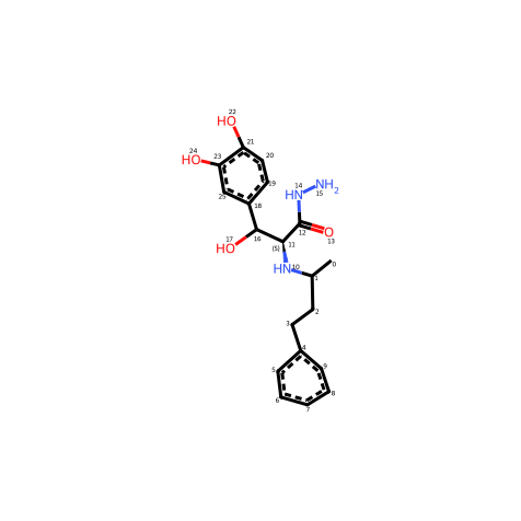 CC(CCc1ccccc1)N[C@H](C(=O)NN)C(O)c1ccc(O)c(O)c1